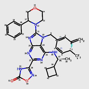 C=C(F)/C=C(\C=C/CC(F)(F)F)Cn1c(N2CCOCC2c2ccccc2)nc2nc(-c3noc(=O)[nH]3)nc(N[C@H](C)C3CCC3)c21